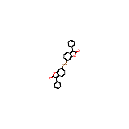 O=c1oc2cc(SSc3cccc4c(-c5ccccc5)c(=O)oc-4c3)cccc-2c1-c1ccccc1